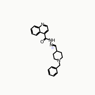 O=C(N/N=C/C1CCN(Cc2ccccc2)CC1)c1ccnc2ccccc12